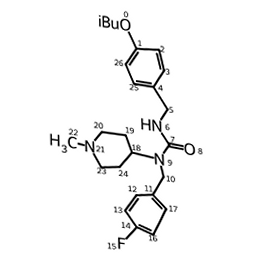 CC(C)COc1ccc(CNC(=O)N(Cc2ccc(F)cc2)C2CCN(C)CC2)cc1